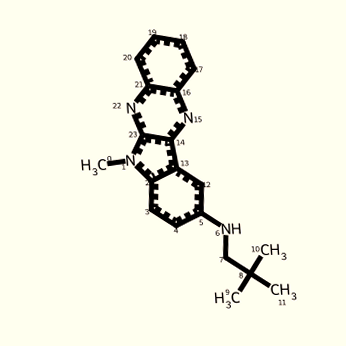 Cn1c2ccc(NCC(C)(C)C)cc2c2nc3ccccc3nc21